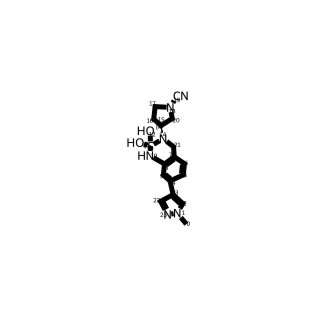 Cn1cc(-c2ccc3c(c2)NS(O)(O)N([C@@H]2CCN(C#N)C2)C3)cn1